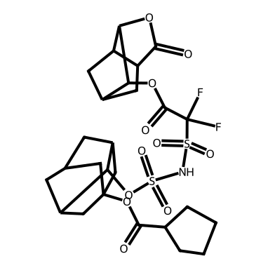 O=C(OC12CC3CC(C1)C(OS(=O)(=O)NS(=O)(=O)C(F)(F)C(=O)OC1C4CC5C(=O)OC1C5C4)C(C3)C2)C1CCCC1